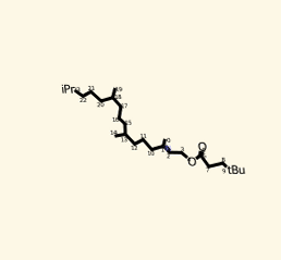 C/C(=C\COC(=O)CCC(C)(C)C)CCCC(C)CCCC(C)CCCC(C)C